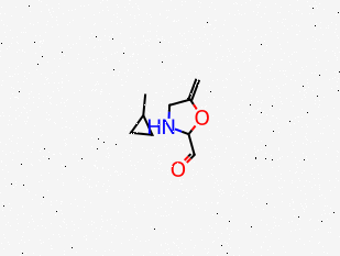 C=C1CNC(C=O)O1.CC1CC1